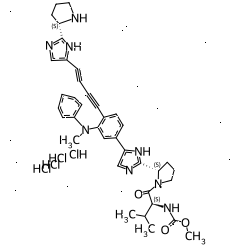 COC(=O)N[C@H](C(=O)N1CCC[C@H]1c1ncc(-c2ccc(C#CC#Cc3cnc([C@@H]4CCCN4)[nH]3)c(N(C)c3ccccc3)c2)[nH]1)C(C)C.Cl.Cl.Cl.Cl